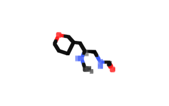 CN[C@H](CN[C]=O)CC1CCCOC1